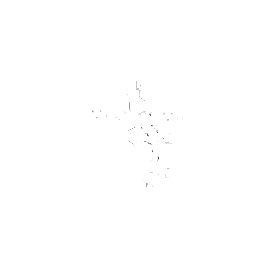 CCc1cc(OC)c(-c2cccc3c(N(CC4CC4)CC4CCOC4)c(CC)nn23)c(OC)c1